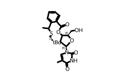 Cc1cn([C@H]2CC(OC(=O)c3ccccc3C(C)SSC(C)(C)C)[C@@H](CO)O2)c(=O)[nH]c1=O